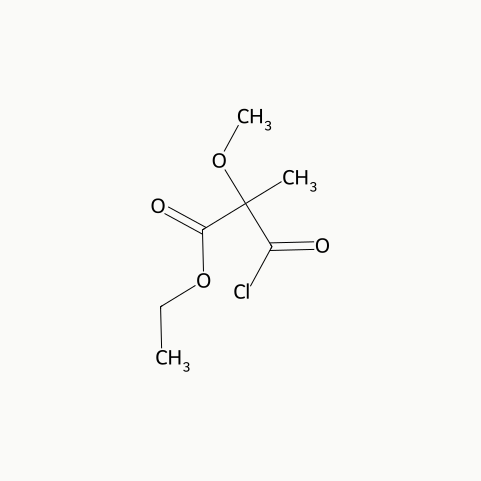 CCOC(=O)C(C)(OC)C(=O)Cl